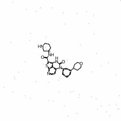 O=C(N[C@@H]1CCCNC1)c1sc2nccc3c2c1NC(=O)N3c1cccc(C2CCOCC2)c1